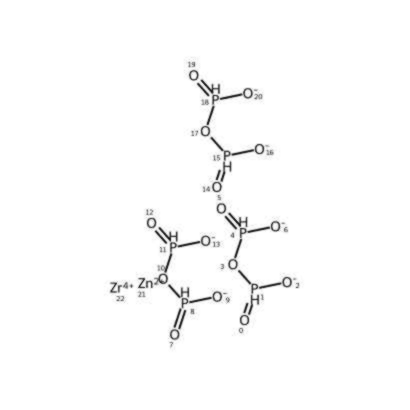 O=[PH]([O-])O[PH](=O)[O-].O=[PH]([O-])O[PH](=O)[O-].O=[PH]([O-])O[PH](=O)[O-].[Zn+2].[Zr+4]